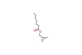 CCCCCCC(=O)OCC1OC1C